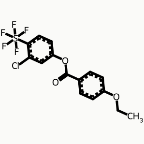 CCOc1ccc(C(=O)Oc2ccc(S(F)(F)(F)(F)F)c(Cl)c2)cc1